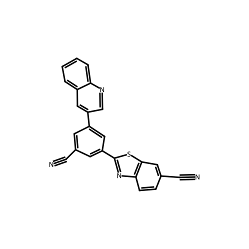 N#Cc1cc(-c2cnc3ccccc3c2)cc(-c2nc3ccc(C#N)cc3s2)c1